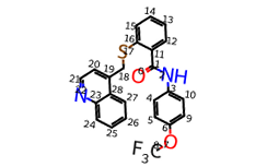 O=C(Nc1ccc(OC(F)(F)F)cc1)c1ccccc1SCc1ccnc2ccccc12